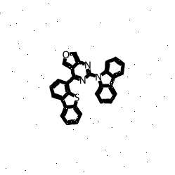 c1ccc2c(c1)sc1c(-c3nc(-n4c5ccccc5c5ccccc54)nc4cocc34)cccc12